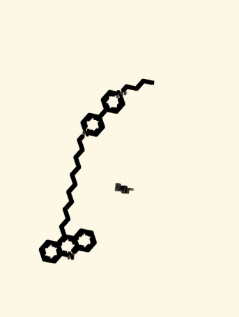 CCCC[n+]1ccc(-c2cc[n+](CCCCCCCCCCCc3c4ccccc4nc4ccccc34)cc2)cc1.[Br-].[Br-]